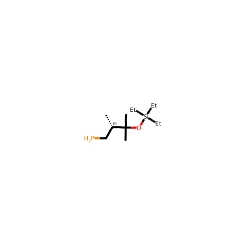 CC[Si](CC)(CC)OC(C)(C)[C@@H](C)CP